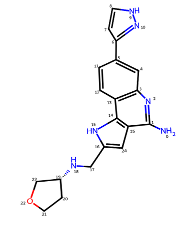 Nc1nc2cc(-c3cc[nH]n3)ccc2c2[nH]c(CN[C@@H]3CCOC3)cc12